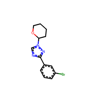 Brc1cccc(-c2ncn(C3CCCCO3)n2)c1